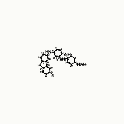 CNC1=CCC(NC)(Nc2ccc(Nc3ccc4c(c3)-c3cc(C)ccc3C4)cc2)C=C1